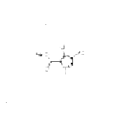 COC(=O)c1[nH]cc(C(C)=O)c1Cl